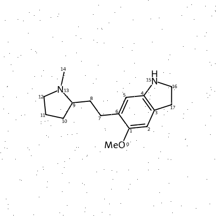 COc1cc2c(cc1CCC1CCCN1C)NCC2